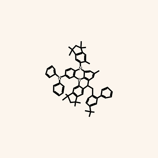 Cc1cc2c3c(c1)N(c1cc4c(cc1C)C(C)(C)CC4(C)C)c1ccc(N(c4ccccc4)c4ccccc4)cc1B3c1cc3c(cc1C2Cc1ccc(C(C)(C)C)cc1-c1ccccc1)C(C)(C)CC3(C)C